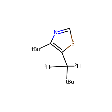 [2H]C([2H])(c1scnc1C(C)(C)C)C(C)(C)C